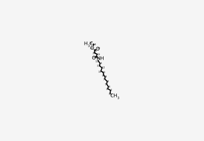 CCCCCCCCCCCCCCCCNC(=O)CCC(=O)OCC